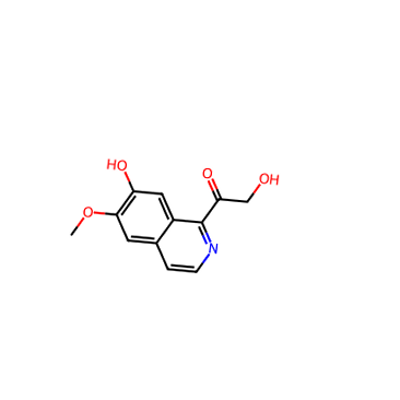 COc1cc2ccnc(C(=O)CO)c2cc1O